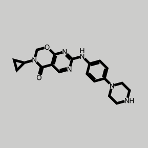 O=C1c2cnc(Nc3ccc(N4CCNCC4)cc3)nc2OCN1C1CC1